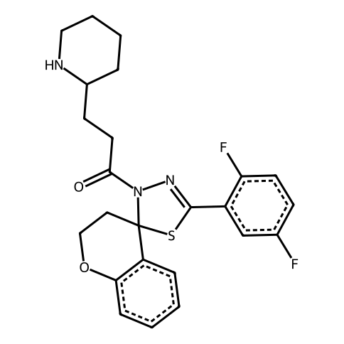 O=C(CCC1CCCCN1)N1N=C(c2cc(F)ccc2F)SC12CCOc1ccccc12